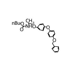 CCCCOC(=O)NC(C)COc1ccc(Oc2ccc(OCc3ccccc3)cc2)cc1